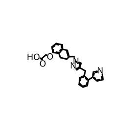 O=C(O)COc1cccc2c1CCC(Cn1cc(Cc3ccccc3-c3cccnc3)cn1)=C2